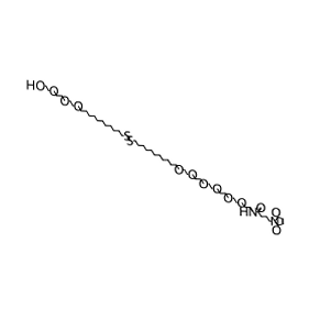 O=C(CCCN1C(=O)C=CC1=O)NCCOCCOCCOCCOCCOCCOCCCCCCCCCCCSSCCCCCCCCCCCOCCOCCOCCO